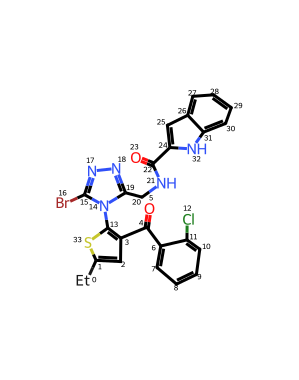 CCc1cc(C(=O)c2ccccc2Cl)c(-n2c(Br)nnc2CNC(=O)c2cc3ccccc3[nH]2)s1